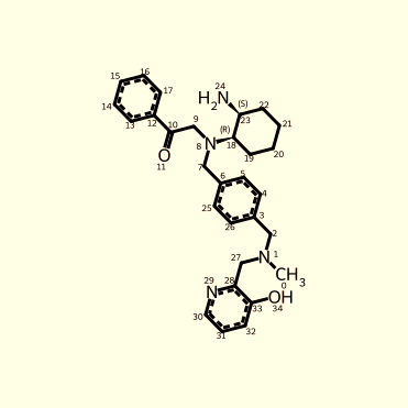 CN(Cc1ccc(CN(CC(=O)c2ccccc2)[C@@H]2CCCC[C@@H]2N)cc1)Cc1ncccc1O